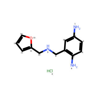 Cl.Nc1ccc(N)c(CNCc2ccco2)c1